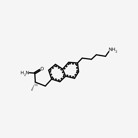 C[C@@H](Cc1ccc2cc(CCCCN)ccc2c1)C(N)=O